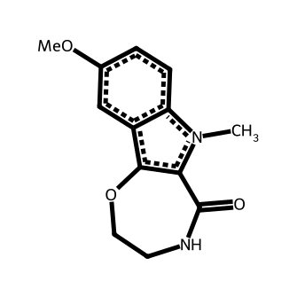 COc1ccc2c(c1)c1c(n2C)C(=O)NCCO1